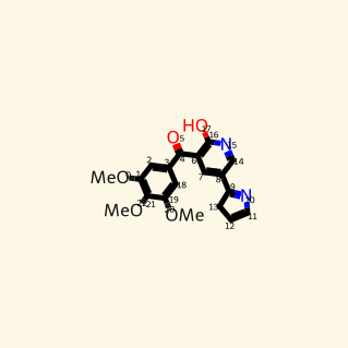 COc1cc(C(=O)c2cc(C3=NC=CC3)cnc2O)cc(OC)c1OC